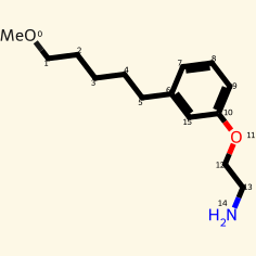 COCCCCCc1cccc(OCCN)c1